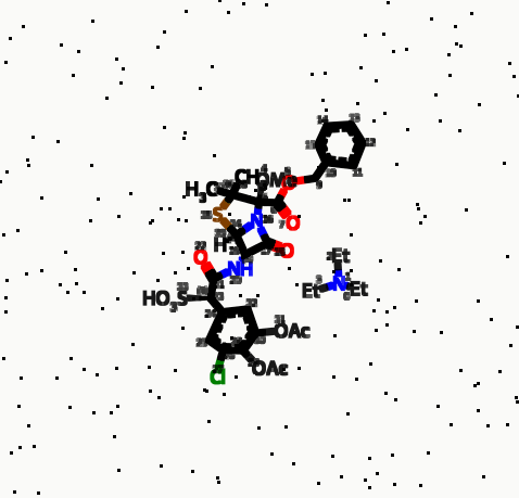 CCN(CC)CC.CO[C@@]1(C(=O)OCc2ccccc2)N2C(=O)[C@H](NC(=O)[C@@H](c3cc(Cl)c(OC(C)=O)c(OC(C)=O)c3)S(=O)(=O)O)[C@H]2SC1(C)C